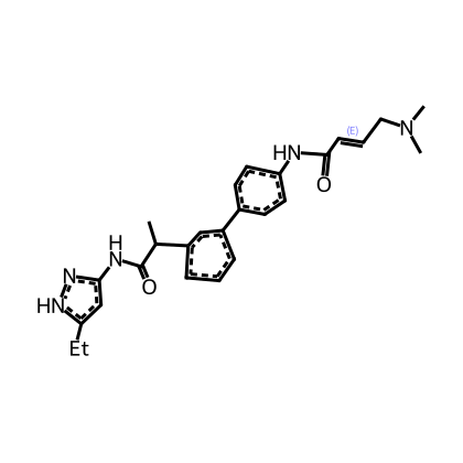 CCc1cc(NC(=O)C(C)c2cccc(-c3ccc(NC(=O)/C=C/CN(C)C)cc3)c2)n[nH]1